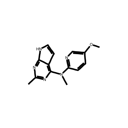 COc1ccc(N(C)c2nc(C)nc3[nH]ccc23)nc1